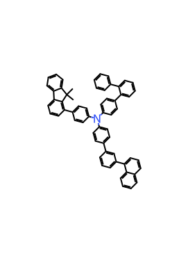 CC1(C)c2ccccc2-c2cccc(-c3ccc(N(c4ccc(-c5cccc(-c6cccc7ccccc67)c5)cc4)c4ccc(-c5ccccc5-c5ccccc5)cc4)cc3)c21